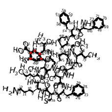 CC[C@H](C)[C@H](NC(=O)[C@H](CCCCN)NC(=O)[C@H](CS)NC(=O)[C@H](Cc1ccccc1)NC(=O)[C@@H](NC(=O)CNC(=O)[C@@H](NC(=O)[C@@H]1CCCN1C(=O)[C@H](Cc1ccccc1)NC(=O)[C@@H](N)Cc1ccccc1)[C@@H](C)CC)C(C)C)C(=O)N[C@@H](Cc1ccccc1)C(=O)N[C@@H](CCCCN)C(=O)N[C@H](C(=O)N[C@@H](CS)C(=O)O)[C@@H](C)O